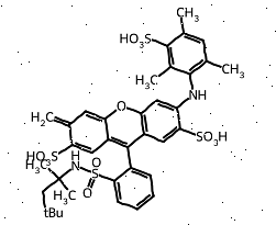 C=c1cc2c(cc1S(=O)(=O)O)=C(c1ccccc1S(=O)(=O)NC(C)(C)CC(C)(C)C)c1cc(S(=O)(=O)O)c(Nc3c(C)cc(C)c(S(=O)(=O)O)c3C)cc1O2